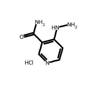 Cl.NNc1ccncc1C(N)=O